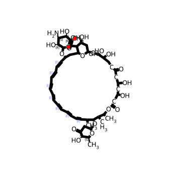 CC1/C=C/C=C/C=C/C=C/C=C/C=C/C=C/C(OC2O[C@H](C)[C@@H](O)[C@H](N)[C@H]2O)CC2OC(O)(CC(O)C(O)CCC(=O)CC(O)CC(O)CC(=O)OC(C)C(C)C1OC1CC(=O)[C@@H](O)[C@H](C)O1)CC(O)C2C(=O)O